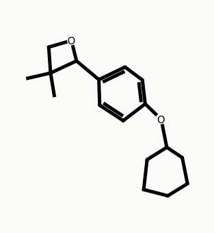 CC1(C)COC1c1ccc(OC2CCCCC2)cc1